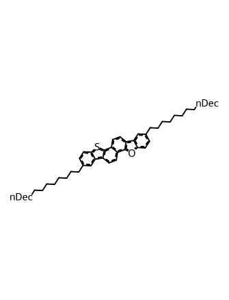 CCCCCCCCCCCCCCCCCCc1ccc2oc3c(ccc4c3ccc3c5cc(CCCCCCCCCCCCCCCCCC)ccc5sc34)c2c1